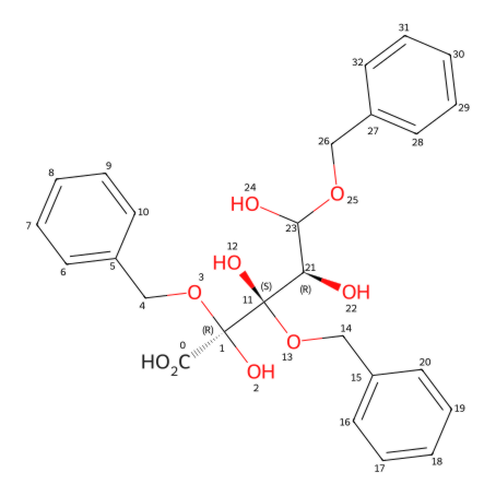 O=C(O)[C@](O)(OCc1ccccc1)[C@@](O)(OCc1ccccc1)[C@H](O)C(O)OCc1ccccc1